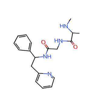 CNC(C)C(=O)NCC(=O)NC(Cc1ccccn1)c1ccccc1